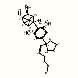 CCCC/C=C\C1(c2cc(O)c([C@@H]3CC(=N)[C@@H]4C5C3[C@]54C)c(O)c2)CCCC1